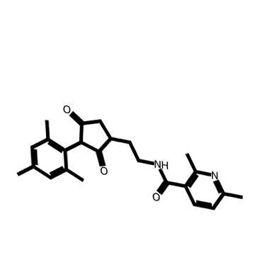 Cc1cc(C)c(C2C(=O)CC(CCNC(=O)c3ccc(C)nc3C)C2=O)c(C)c1